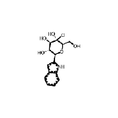 OC[C@H]1O[C@@H](c2cc3ccccc3[nH]2)[C@H](O)[C@@H](O)[C@@]1(O)Cl